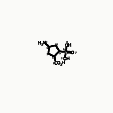 NC1CC(C(=O)O)C(P(=O)(O)O)C1